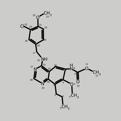 CCCc1c(OC)c(NC(=O)OC)cc2c(NCc3ccc(OC)c(Cl)c3)ncnc12